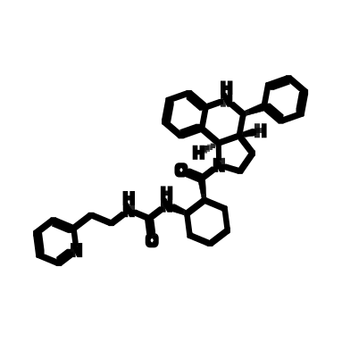 O=C(NCCc1ccccn1)N[C@@H]1CCCC[C@@H]1C(=O)N1CC[C@H]2[C@H](c3ccccc3)Nc3ccccc3[C@@H]21